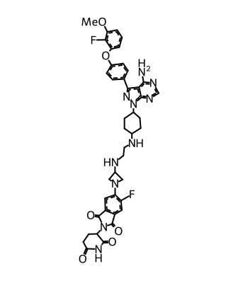 COc1cccc(Oc2ccc(-c3nn(C4CCC(NCCNC5CN(c6cc7c(cc6F)C(=O)N(C6CCC(=O)NC6=O)C7=O)C5)CC4)c4ncnc(N)c34)cc2)c1F